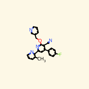 Cc1cccnc1-c1cc(-c2ccc(F)cc2)c(C#N)c(OCc2cccnc2)n1